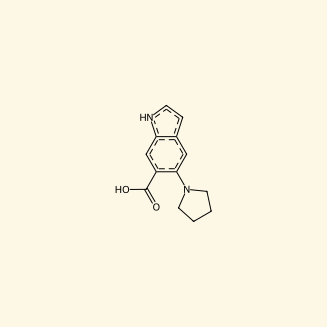 O=C(O)c1cc2[nH]ccc2cc1N1CCCC1